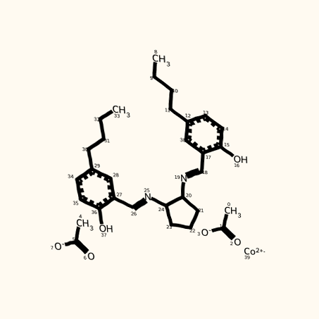 CC(=O)[O-].CC(=O)[O-].CCCCc1ccc(O)c(C=NC2CCCC2N=Cc2cc(CCCC)ccc2O)c1.[Co+2]